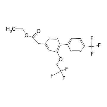 CCOC(=O)Cc1ccc(-c2ccc(C(F)(F)F)cc2)c(OCC(F)(F)F)c1